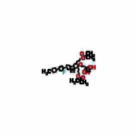 C=C(C)C(=O)OCCCc1cc(-c2ccc(-c3ccc(C4CCC(C)CC4)cc3F)cc2CC)cc(CCCOC(=O)C(=C)C)c1OCCC(CC)(CO)CO